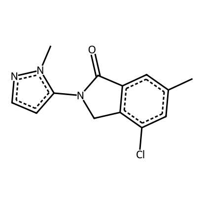 Cc1cc(Cl)c2c(c1)C(=O)N(c1ccnn1C)C2